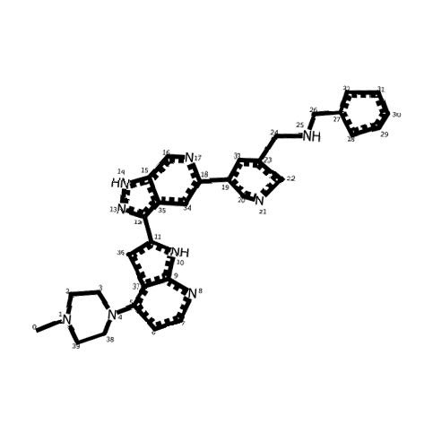 CN1CCN(c2ccnc3[nH]c(-c4n[nH]c5cnc(-c6cncc(CNCc7ccccc7)c6)cc45)cc23)CC1